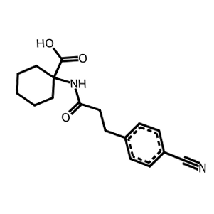 N#Cc1ccc(CCC(=O)NC2(C(=O)O)CCCCC2)cc1